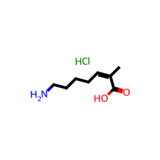 CC(=CCCCCN)C(=O)O.Cl